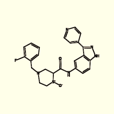 O=C(Nc1ccc2[nH]nc(-c3ccncc3)c2c1)C1CN(Cc2ccccc2F)CC[S+]1[O-]